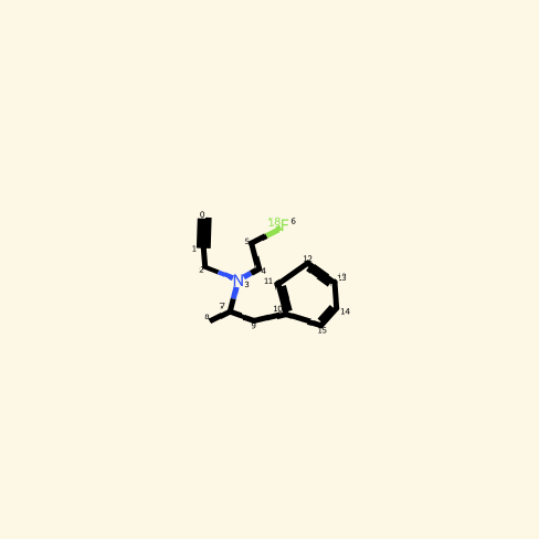 C#CCN(CC[18F])C(C)Cc1ccccc1